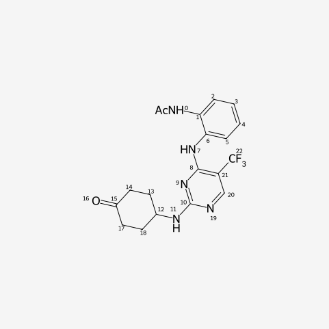 CC(=O)Nc1ccccc1Nc1nc(NC2CCC(=O)CC2)ncc1C(F)(F)F